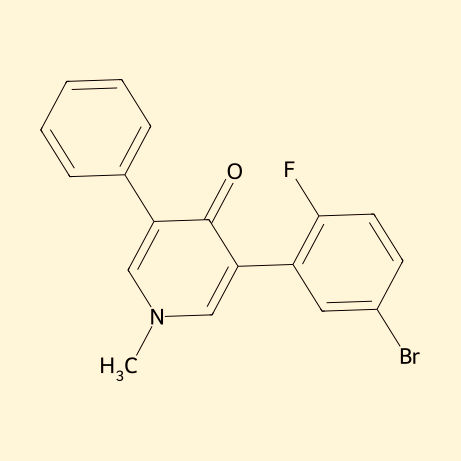 Cn1cc(-c2ccccc2)c(=O)c(-c2cc(Br)ccc2F)c1